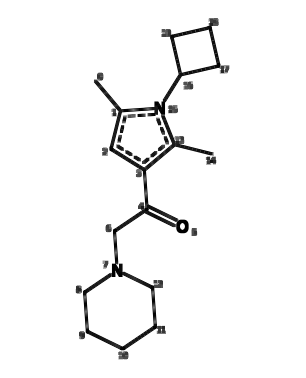 Cc1cc(C(=O)CN2CCCCC2)c(C)n1C1CCC1